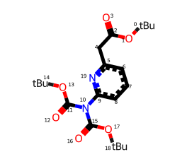 CC(C)(C)OC(=O)Cc1cccc(N(C(=O)OC(C)(C)C)C(=O)OC(C)(C)C)n1